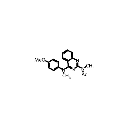 COc1ccc(N(C)c2nc(N(C)C(C)=O)nc3ccccc23)cc1